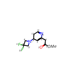 COC(=O)CC1=CC(N2CC(F)(F)C2)CC=N1